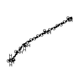 CC(C)(C)OC(=O)NCCOCCOCCOCCOCCOCCNC(=O)CCOCCOCCOCCOCCOCC1=CN(CCOCCNC(=O)CCCC[C@@H]2SC[C@H]3NC(=O)NC23)NN1